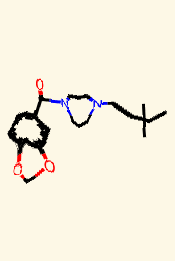 CC(C)(C)CCN1CCN(C(=O)c2ccc3c(c2)OCO3)CC1